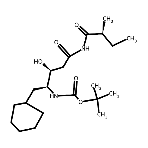 CC[C@H](C)C(=O)NC(=O)C[C@H](O)[C@H](CC1CCCCC1)NC(=O)OC(C)(C)C